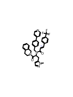 Cn1nccc1CC(C(=O)N1CCc2ccccc2C1)N(Cc1ccc(-c2ccncc2)cc1)C(=O)/C=C/c1ccc(C(F)(F)F)cc1